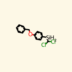 ClC(Cl)[SiH2]c1ccc(OCc2ccccc2)cc1